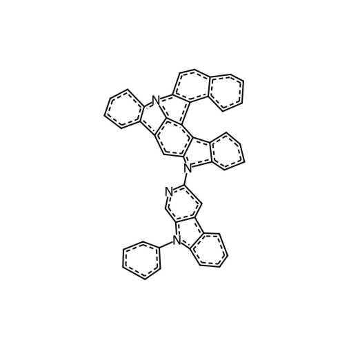 c1ccc(-n2c3ccccc3c3cc(-n4c5ccccc5c5c6c7c8ccccc8ccc7n7c8ccccc8c(cc54)c67)ncc32)cc1